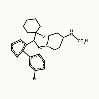 O=C(O)NC1CCN(C(=O)C(c2ccccc2-c2cccc(Br)c2)C2(O)CCCCC2)CC1